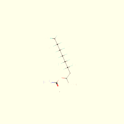 CCCCCC(CC(F)(F)C(F)(F)C(F)(F)C(F)(F)C(F)(F)C(F)F)OC(N)=O